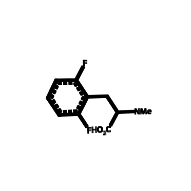 CNC(Cc1c(F)cccc1F)C(=O)O